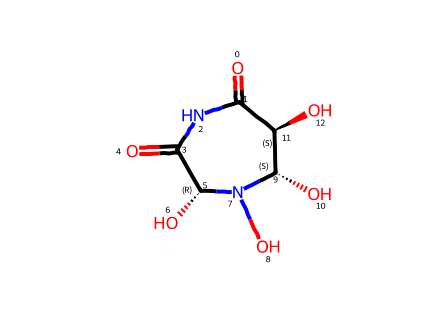 O=C1NC(=O)[C@@H](O)N(O)[C@@H](O)[C@@H]1O